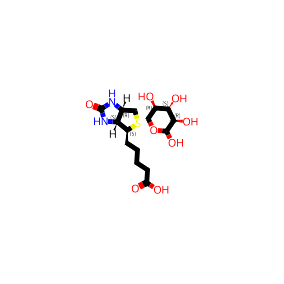 O=C(O)CCCC[C@@H]1SC[C@@H]2NC(=O)N[C@@H]21.OC1OC[C@@H](O)[C@H](O)[C@H]1O